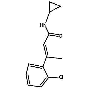 CC(=CC(=O)NC1CC1)c1ccccc1Cl